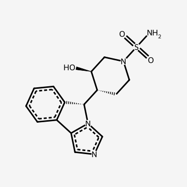 NS(=O)(=O)N1CC[C@H]([C@H]2c3ccccc3-c3cncn32)[C@@H](O)C1